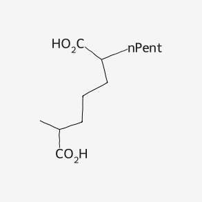 CCCCCC(CCCC(C)C(=O)O)C(=O)O